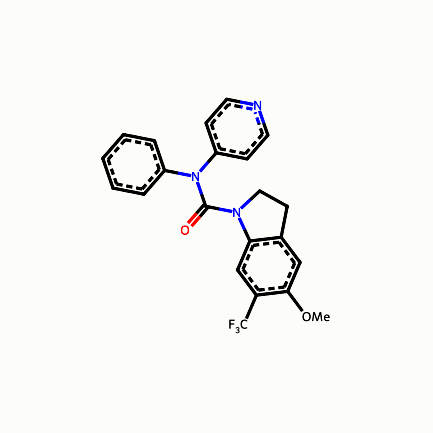 COc1cc2c(cc1C(F)(F)F)N(C(=O)N(c1ccccc1)c1ccncc1)CC2